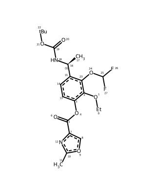 CCOc1c(OC(=O)c2coc(C)n2)ccc([C@H](C)NC(=O)OC(C)(C)C)c1OC(F)F